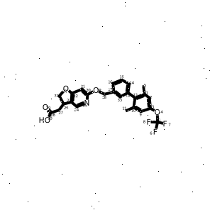 Cc1cc(OC(F)(F)F)cc(C)c1-c1cccc(COc2cc3c(cn2)C(CC(=O)O)CO3)c1